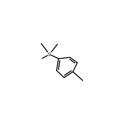 [CH2][Si](C)(C)c1ccc(C)cc1